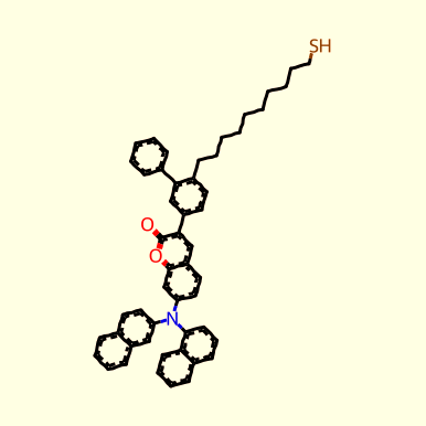 O=c1oc2cc(N(c3ccc4ccccc4c3)c3cccc4ccccc34)ccc2cc1-c1ccc(CCCCCCCCCCS)c(-c2ccccc2)c1